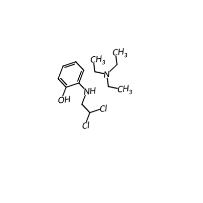 CCN(CC)CC.Oc1ccccc1NCC(Cl)Cl